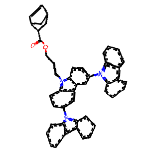 O=C(OCCCn1c2ccc(-n3c4ccccc4c4ccccc43)cc2c2cc(-n3c4ccccc4c4ccccc43)ccc21)C1CC2C=CC1C2